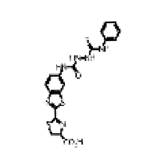 O=C(NNC(=S)Nc1ccccc1)Nc1ccc2nc(C3=NC(C(=O)O)CS3)sc2c1